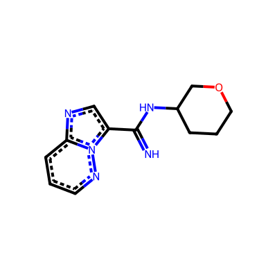 N=C(NC1CCCOC1)c1cnc2cccnn12